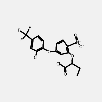 CCC(Oc1cc(Oc2ccc(C(F)(F)F)cc2Cl)ccc1[N+](=O)[O-])C(=O)Cl